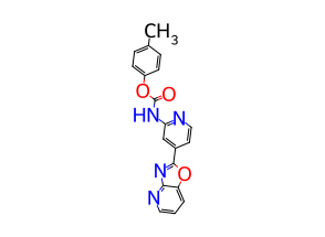 Cc1ccc(OC(=O)Nc2cc(-c3nc4ncccc4o3)ccn2)cc1